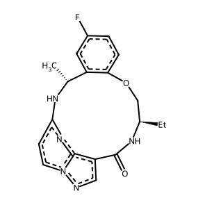 CC[C@@H]1COc2ccc(F)cc2[C@@H](C)Nc2ccn3ncc(c3n2)C(=O)N1